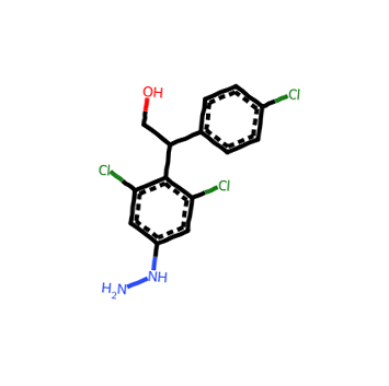 NNc1cc(Cl)c(C(CO)c2ccc(Cl)cc2)c(Cl)c1